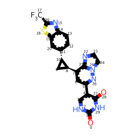 O=c1[nH]cc(-c2cc([C@H]3C[C@@H]3c3ccc4nc(C(F)(F)F)sc4c3)c3nccn3n2)c(=O)[nH]1